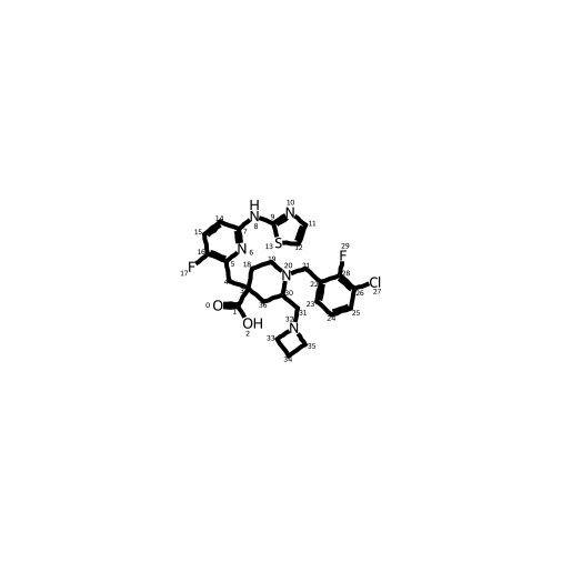 O=C(O)C1(Cc2nc(Nc3nccs3)ccc2F)CCN(Cc2cccc(Cl)c2F)C(CN2CCC2)C1